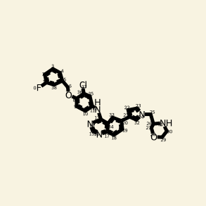 Fc1cccc(COc2ccc(Nc3ncnc4ccc(-c5ccn(CC6COCCN6)c5)cc34)cc2Cl)c1